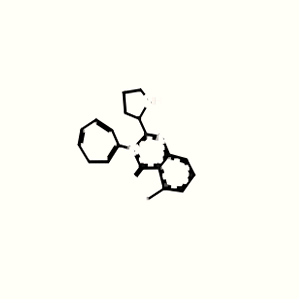 O=c1c2c(Cl)cccc2nc(C2CCCN2)n1C1=CCC=CC=C1